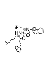 CC(C)C[C@H](NC(=O)c1cc2ccccc2o1)C(=O)N[C@@H](CCCC=S)C(=O)CCc1ccco1